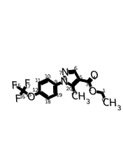 CCOC(=O)c1cnn(-c2ccc(OC(F)(F)F)cc2)c1C